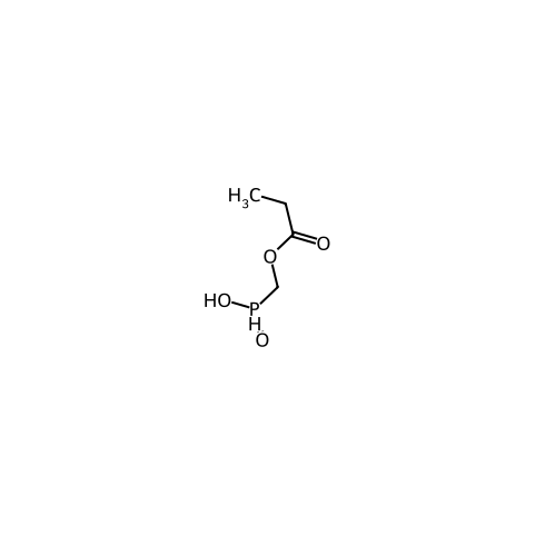 CCC(=O)OC[PH](=O)O